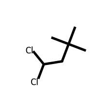 CC(C)(C)CC(Cl)Cl